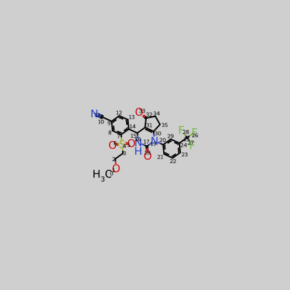 COCCS(=O)(=O)c1cc(C#N)ccc1C1NC(=O)N(c2cccc(C(F)(F)F)c2)C2=C1C(=O)CC2